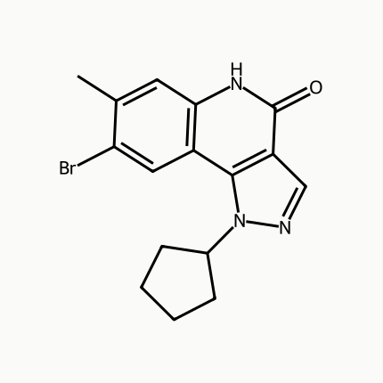 Cc1cc2[nH]c(=O)c3cnn(C4CCCC4)c3c2cc1Br